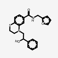 O=C(NCc1ccco1)c1ccc2c(c1)N(CC(O)c1ccccc1)CCS2